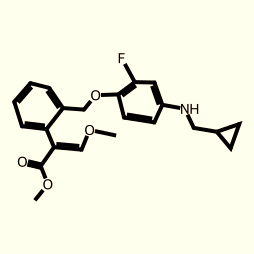 CO/C=C(/C(=O)OC)c1ccccc1COc1ccc(NCC2CC2)cc1F